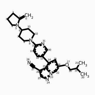 C=C1CCCN1C1CCN(c2ccc(-c3cc(OCC(C)C)cn4ncc(C#N)c34)cn2)CC1